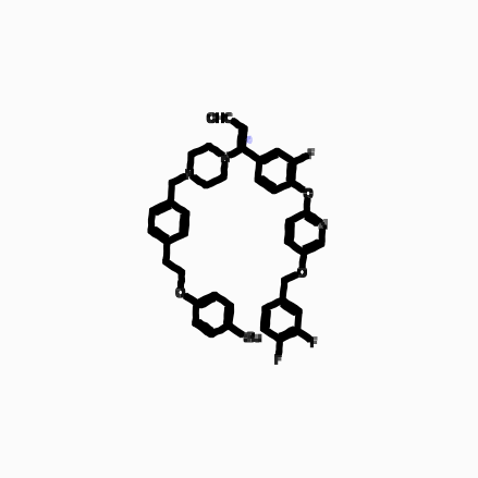 CC(C)(C)c1ccc(OCCc2ccc(CN3CCN(/C(=C\C=O)c4ccc(Oc5ccc(OCc6ccc(F)c(F)c6)cn5)c(F)c4)CC3)cc2)cc1